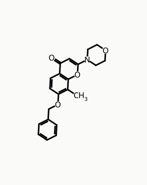 Cc1c(OCc2ccccc2)ccc2c(=O)cc(N3CCOCC3)oc12